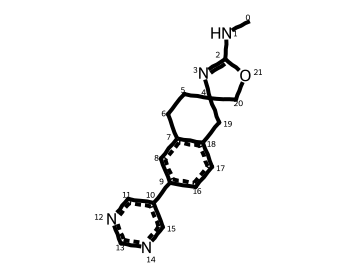 CNC1=NC2(CCc3cc(-c4cncnc4)ccc3C2)CO1